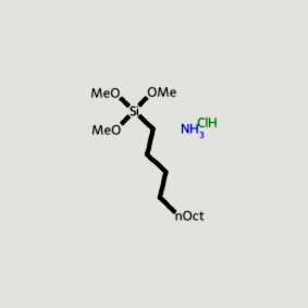 CCCCCCCCCCCC[Si](OC)(OC)OC.Cl.N